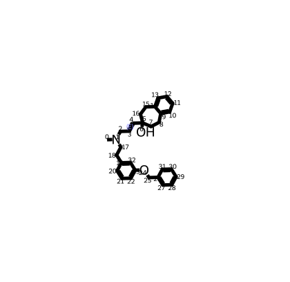 CN(C/C=C/C1(O)CCc2ccccc2CC1)CCc1cccc(OCc2ccccc2)c1